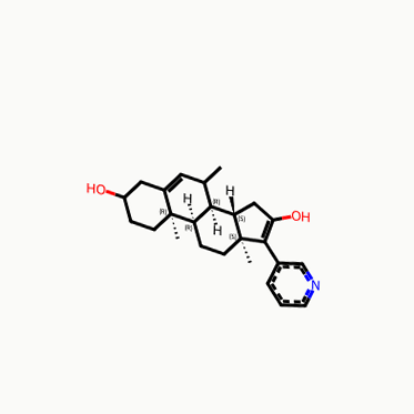 CC1C=C2CC(O)CC[C@]2(C)[C@@H]2CC[C@]3(C)C(c4cccnc4)=C(O)C[C@H]3[C@H]12